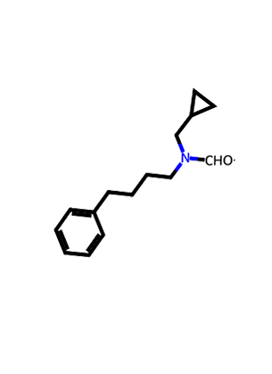 O=[C]N(CCCCc1ccccc1)CC1CC1